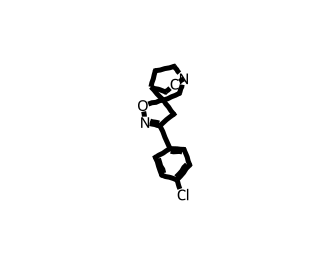 Clc1ccc(C2=NOC3(C2)CN2CCC3CC2)cc1